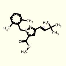 COC(=O)c1cc(/C=C/C(C)(C)C)nn1Cc1c(C)cccc1C